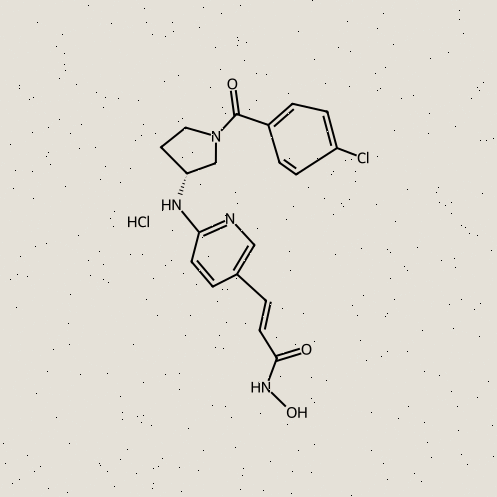 Cl.O=C(/C=C/c1ccc(N[C@@H]2CCN(C(=O)c3ccc(Cl)cc3)C2)nc1)NO